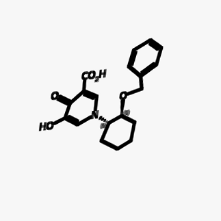 O=C(O)c1cn([C@H]2CCCC[C@@H]2OCc2ccccc2)cc(O)c1=O